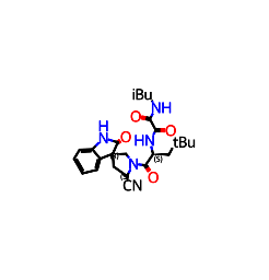 CCC(C)NC(=O)C(=O)N[C@@H](CC(C)(C)C)C(=O)N1C[C@]2(C[C@H]1C#N)C(=O)Nc1ccccc12